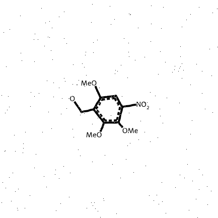 COc1cc([N+](=O)[O-])c(OC)c(OC)c1C[O]